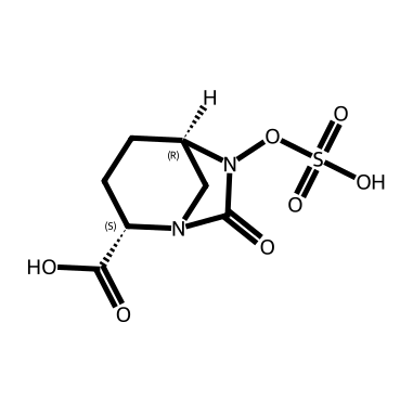 O=C(O)[C@@H]1CC[C@@H]2CN1C(=O)N2OS(=O)(=O)O